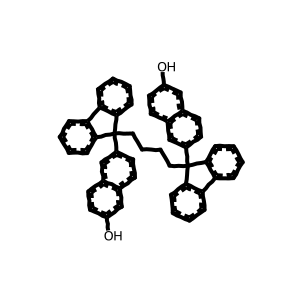 Oc1ccc2cc(C3(CCCCC4(c5ccc6cc(O)ccc6c5)c5ccccc5-c5ccccc54)c4ccccc4-c4ccccc43)ccc2c1